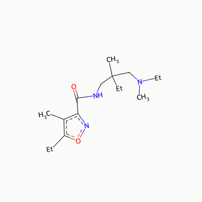 CCc1onc(C(=O)NCC(C)(CC)CN(C)CC)c1C